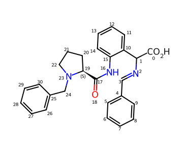 O=C(O)C(N=Cc1ccccc1)c1ccccc1NC(=O)[C@@H]1CCCN1Cc1ccccc1